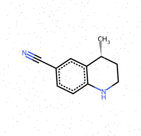 C[C@@H]1CCNc2ccc(C#N)cc21